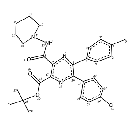 Cc1ccc(-c2nc(C(=O)NN3CCCCC3)c(C(=O)OC(C)(C)C)nc2-c2ccc(Cl)cc2)cc1